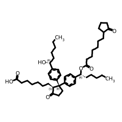 CCCCC[C@@H](O)c1ccc([C@@]2(c3ccc([C@@H](CCCCC)OC(=O)CCCCCCC4CCCC4=O)cc3)CCC(=O)[C@H]2CCCCCCC(=O)O)cc1